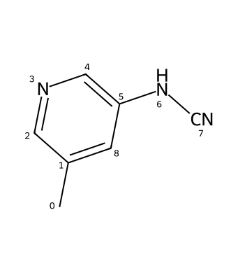 Cc1cncc(NC#N)c1